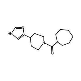 O=C(C1CCCCCC1)N1CCC(c2c[nH]cn2)CC1